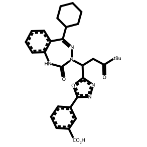 CC(C)(C)C(=O)CC(c1nnc(-c2cccc(C(=O)O)c2)o1)N1N=C(C2CCCCC2)c2ccccc2NC1=O